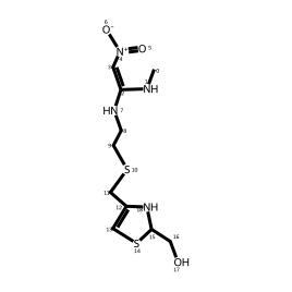 CNC(=C[N+](=O)[O-])NCCSCC1=CSC(CO)N1